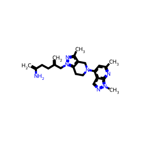 C=C(N)CCC(=C)Cn1nc(C)c2c1CCN(c1cc(C)nc3c1cnn3C)C2